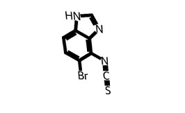 S=C=Nc1c(Br)ccc2[nH]cnc12